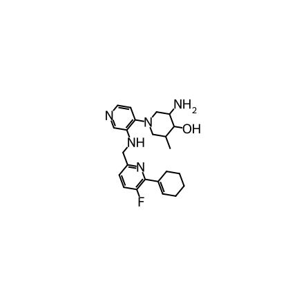 CC1CN(c2ccncc2NCc2ccc(F)c(C3=CCCCC3)n2)CC(N)C1O